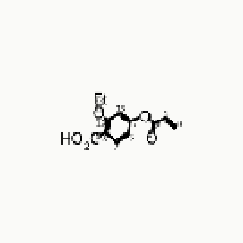 C=CC(=O)Oc1ccc(C(=O)O)c(OCC)c1